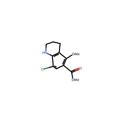 COC(=O)c1cc(Cl)c2c(c1OC)CCCN2